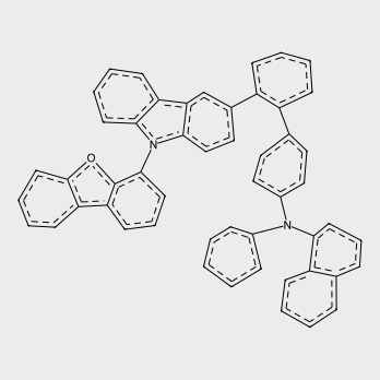 c1ccc(N(c2ccc(-c3ccccc3-c3ccc4c(c3)c3ccccc3n4-c3cccc4c3oc3ccccc34)cc2)c2cccc3ccccc23)cc1